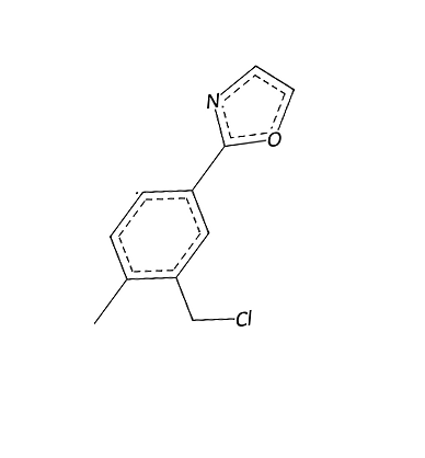 Cc1c[c]c(-c2ncco2)cc1CCl